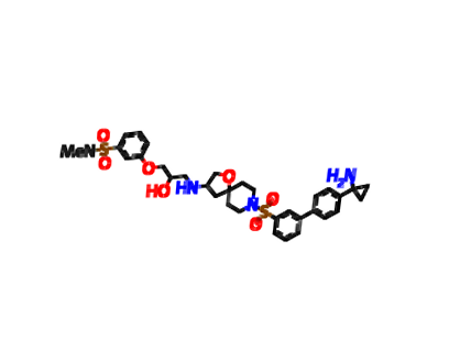 CNS(=O)(=O)c1cccc(OCC(O)CNC2COC3(CCN(S(=O)(=O)c4cccc(-c5ccc(C6(N)CC6)cc5)c4)CC3)C2)c1